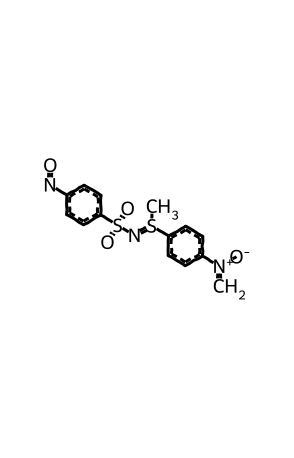 C=[N+]([O-])c1ccc(S(C)=NS(=O)(=O)c2ccc(N=O)cc2)cc1